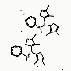 CC1=CC[C]([Hf+]([C]2=C(C)C(C)=CC2)[SiH](C)c2ccccc2)=C1C.CC1=CC[C]([Hf+]([C]2=C(C)C(C)=CC2)[SiH](C)c2ccccc2)=C1C.[Cl-].[Cl-]